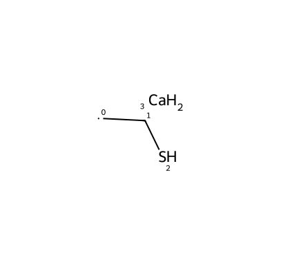 [CH2]CS.[CaH2]